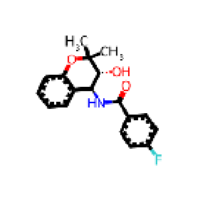 CC1(C)Oc2ccccc2[C@H](NC(=O)c2ccc(F)cc2)[C@H]1O